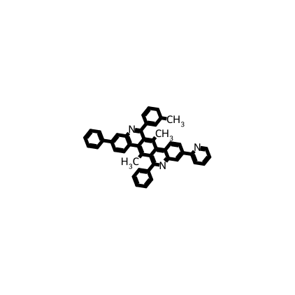 Cc1c2c(-c3ccccc3)nc3cc(-c4ccccn4)ccc3c2c(C)c2c(C3=CC(C)CC=C3)nc3cc(-c4ccccc4)ccc3c12